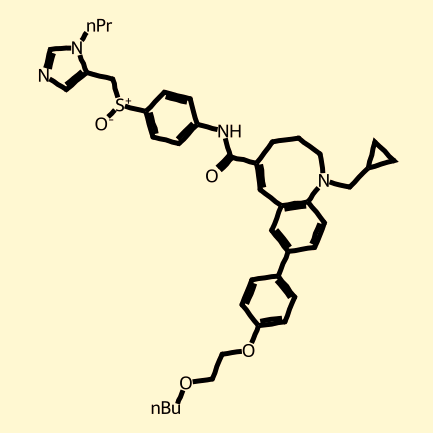 CCCCOCCOc1ccc(-c2ccc3c(c2)/C=C(/C(=O)Nc2ccc([S+]([O-])Cc4cncn4CCC)cc2)CCCN3CC2CC2)cc1